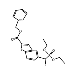 CCOP(=O)(OCC)[C@@H](F)c1ccc2sc(C(=O)OCc3ccccc3)cc2c1